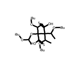 CCC(C)OC(C)OC(C(O)=S)(C(C)OC(C)CC)C(C(O)=S)(C(C)OC(C)CC)C(C)OC(C)CC